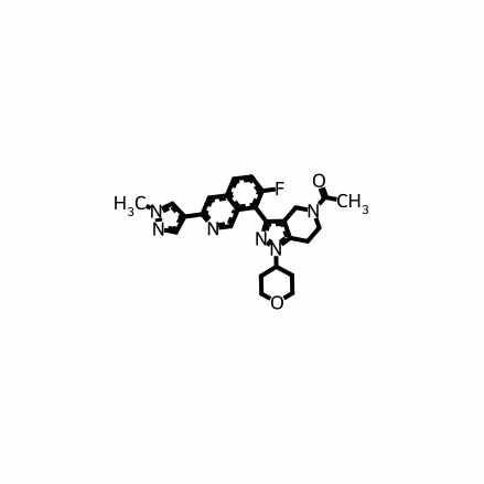 CC(=O)N1CCc2c(c(-c3c(F)ccc4cc(-c5cnn(C)c5)ncc34)nn2C2CCOCC2)C1